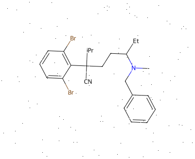 CCC(CCC(C#N)(c1c(Br)cccc1Br)C(C)C)N(C)Cc1ccccc1